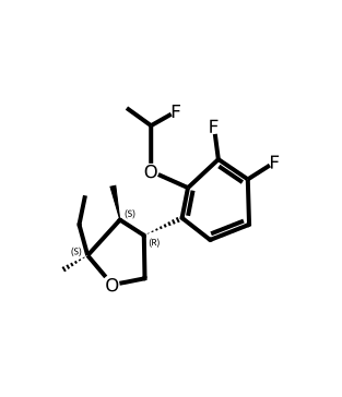 CC[C@]1(C)OC[C@@H](c2ccc(F)c(F)c2OC(C)F)[C@@H]1C